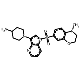 CN1CCOc2cc(S(=O)(=O)n3cc(N4CCC(N)CC4)c4ncccc43)ccc21